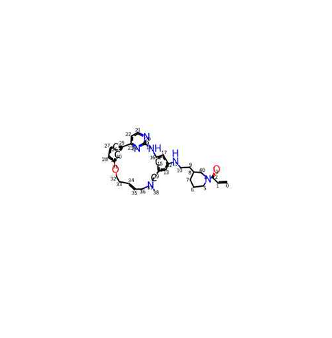 C=CC(=O)N1CCCC(CCNc2cc3cc(c2)Nc2nccc(n2)-c2cccc(c2)OCC/C=C/CN(C)C3)C1